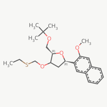 CCSCOC1C[C@H](c2cc3ccccc3cc2OC)O[C@@H]1COC(C)(C)C